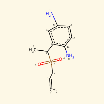 C=CCS(=O)(=O)C(C)c1cc(N)ccc1N